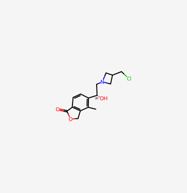 Cc1c([C@@H](O)CN2CC(CCl)C2)ccc2c1COC2=O